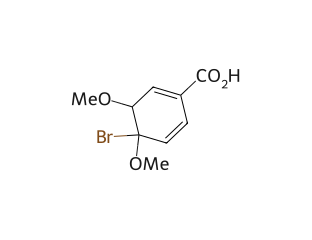 COC1C=C(C(=O)O)C=CC1(Br)OC